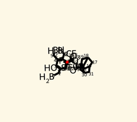 BCc1cc(CB)c(CB)c(C(=O)OC23CC4CC(C2)C(C(=O)OC(C(F)(F)F)C(F)(F)S(=O)(=O)O)C(C4)C3)c1